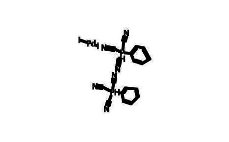 N#C[PH](C#N)(C#N)c1ccccc1.N#C[PH](C#N)(C#N)c1ccccc1.[I][Pd][I]